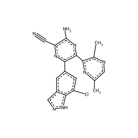 Cc1cnc(C)c(-c2nc(N)c(C#N)nc2-c2cc(Cl)c3[nH]ncc3c2)n1